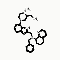 CCC1CN(c2cccc3nc(CN(Cc4ccccc4)[C@H]4CCCc5cccnc54)[nH]c23)CCN1C